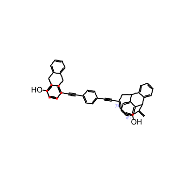 C=C1/C(O)=C\C=C(\C#Cc2ccc(C#Cc3ccc(O)c4c3C3c5ccccc5C4c4ccccc43)cc2)CC2c3ccccc3C1c1ccccc12